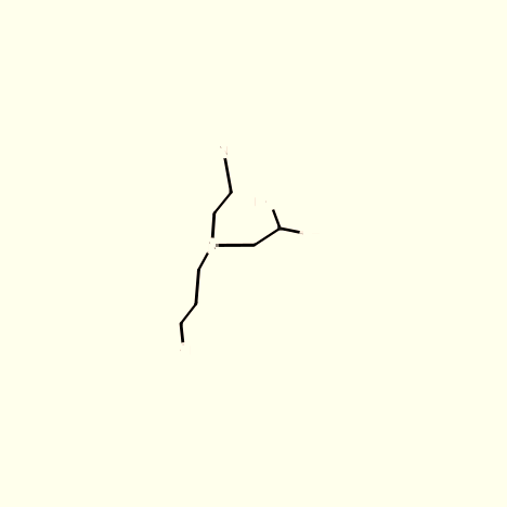 CCCCN(CCN)CC(C)O